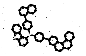 c1ccc2c(-c3ccc(N(c4ccc(-c5ccc6c(ccc7ccc8ccccc8c76)c5)cc4)c4cccc5sc6ccccc6c45)cc3)cccc2c1